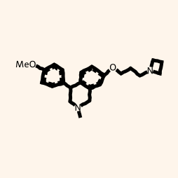 COc1ccc(C2CN(C)Cc3cc(OCCCN4CCC4)ccc32)cc1